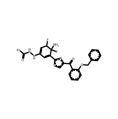 CCC(=O)NNC1=CC(F)C(N)(F)C(c2nc(C(=O)c3ccccc3OCc3ccccc3)cs2)=C1